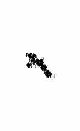 O=C(Nc1nccs1)C(c1ncn2c1C[C@@H](F)C2)n1cc2c(Cl)cc(-c3ccc(N4CC5(CCNCC5)C4)cc3)c(Cl)c2n1